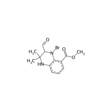 COC(=O)c1cccc2c1N(Br)C(C=O)C(C)(C)N2